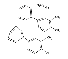 C=O.Cc1ccc(-c2ccccc2)cc1C.Cc1ccc(-c2ccccc2)cc1C